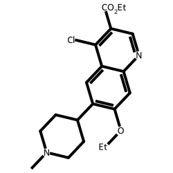 CCOC(=O)c1cnc2cc(OCC)c(C3CCN(C)CC3)cc2c1Cl